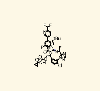 CC(C)(C)CCN/C1=N\C(F)c2ncnn2-c2cc(ccc2Cl)[C@@H](COC(=O)NC2(C(F)(F)F)CC2)N1C(=O)c1ccc(-c2ccc(C(F)F)nc2)cc1F